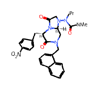 CNC(=O)N(C(C)C)N1CC(=O)N2[C@@H](Cc3ccc([N+](=O)[O-])cc3)C(=O)N(Cc3cccc4ccccc34)C[C@@H]21